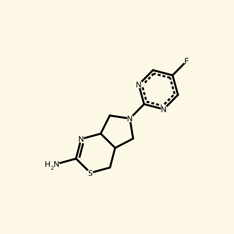 NC1=NC2CN(c3ncc(F)cn3)CC2CS1